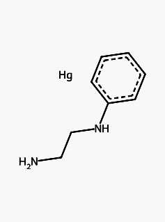 NCCNc1ccccc1.[Hg]